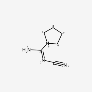 N#C/N=C(/N)N1CCCC1